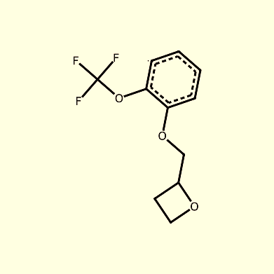 FC(F)(F)Oc1[c]cccc1OCC1CCO1